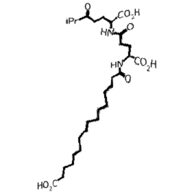 CC(C)C(=O)CC[C@H](NC(=O)CC[C@H](NC(=O)CCCCCCCCCCCCCCC(=O)O)C(=O)O)C(=O)O